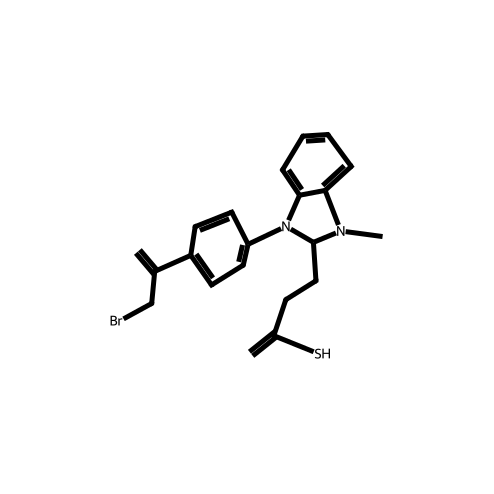 C=C(S)CCC1N(C)c2ccccc2N1c1ccc(C(=C)CBr)cc1